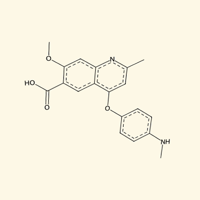 CNc1ccc(Oc2cc(C)nc3cc(OC)c(C(=O)O)cc23)cc1